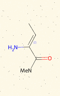 C/C=C(\N)C(=O)NC